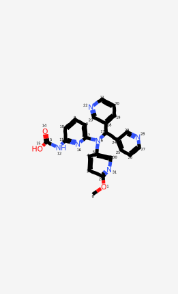 COc1ccc(N(c2cccc(NC(=O)O)n2)C(c2cccnc2)c2cccnc2)cn1